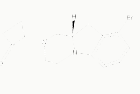 O=C1CC[C@@H]1N1CCN2c3cccc(Br)c3C[C@H]2C1